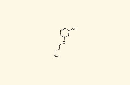 CC(=O)OCCOOc1cccc(O)c1